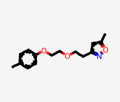 Cc1ccc(OCCOCCc2cc(C)on2)cc1